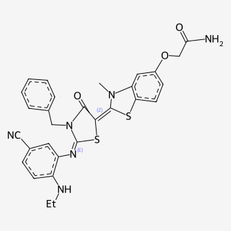 CCNc1ccc(C#N)cc1/N=C1/S/C(=C2\Sc3ccc(OCC(N)=O)cc3N2C)C(=O)N1Cc1ccccc1